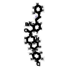 O=C(c1cccc(/C=C/c2ccccc2)c1Br)N1CCN2C[C@@H](c3ccc(Cl)cc3)CC[C@@H]2C1